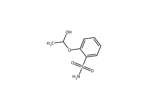 CC(O)Oc1ccccc1S(N)(=O)=O